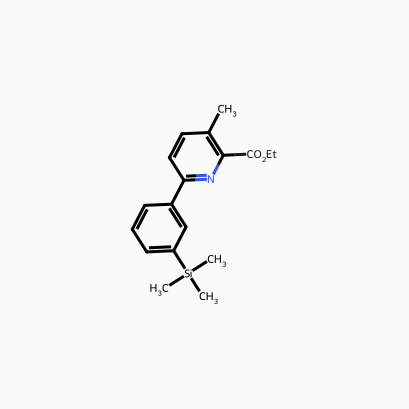 CCOC(=O)c1nc(-c2cccc([Si](C)(C)C)c2)ccc1C